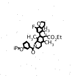 CCOC(=O)Cc1c(C)c2c(c(C)c1-c1cc(F)c3c(c1C)CCCO3)CN(C(=O)c1cccc(OC(C)C)c1)CC2